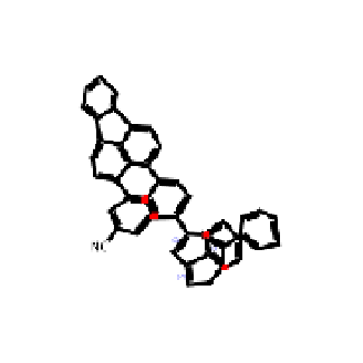 N#Cc1cccc(-c2ccc3c4c(ccc(-c5ccc(C6=C/C(c7ccccc7)=C/CC/C(c7ccccc7)=N\6)cc5)c24)-c2ccccc2-3)c1